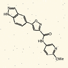 COc1ccc(NC(=O)c2cc(-c3ccc4[nH]ncc4c3)on2)cn1